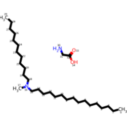 CCCCCCCCCCCCCCCCN(C)CCCCCCCCCCCC.NCC(=O)O